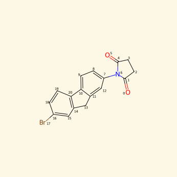 O=C1CCC(=O)N1c1ccc2c(c1)Cc1cc(Br)ccc1-2